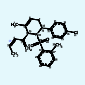 C=C(/C=C\C)[C@H]1C(C)=CC[C@@H](c2ccc(Cl)cc2)N1S(=O)(=O)c1ccccc1C